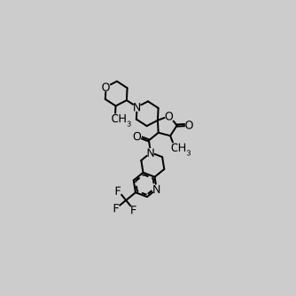 CC1COCCC1N1CCC2(CC1)OC(=O)C(C)C2C(=O)N1CCc2ncc(C(F)(F)F)cc2C1